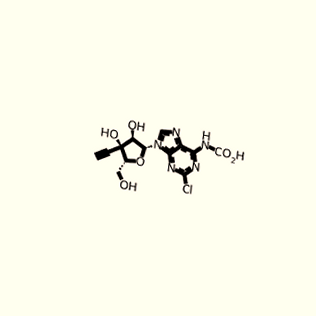 C#C[C@@]1(O)[C@@H](CO)O[C@@H](n2cnc3c(NC(=O)O)nc(Cl)nc32)[C@@H]1O